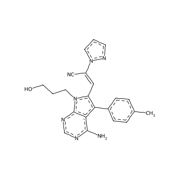 Cc1ccc(-c2c(/C=C(\C#N)n3cccn3)n(CCCO)c3ncnc(N)c23)cc1